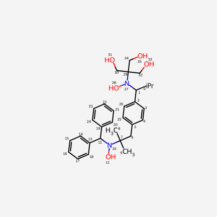 CC(C)C(c1ccc(CC(C)(C)N(O)C(c2ccccc2)c2ccccc2)cc1)N(O)C(CO)(CO)CO